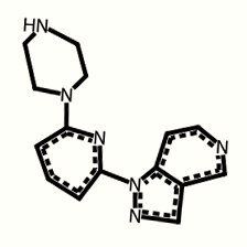 c1cc(N2CCNCC2)nc(-n2ncc3cnccc32)c1